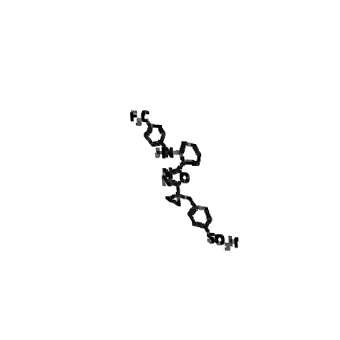 O=S(=O)(O)c1ccc(CC2(c3nnc(-c4ccccc4Nc4ccc(C(F)(F)F)cc4)o3)CC2)cc1